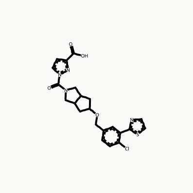 O=C(O)c1ccn(C(=O)N2CC3CC(OCc4ccc(Cl)c(-c5nccs5)c4)CC3C2)n1